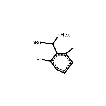 CCCCCCC(CCCC)c1c(C)cccc1Br